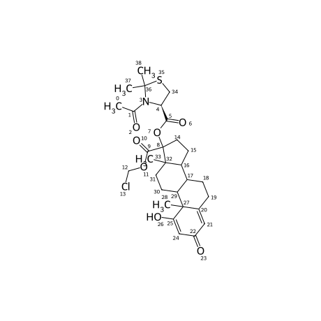 CC(=O)N1[C@H](C(=O)OC2(C(=O)OCCl)CCC3C4CCC5=CC(=O)C=C(O)C5(C)C4CCC32C)CSC1(C)C